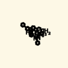 C=C/C=C\C1=C(C)C(C)(C)c2c1ccc1c3cc(-c4ccccc4)ccc3n(-c3cccc(-c4nc(-c5ccccc5)nc(-c5ccccc5)n4)c3)c21